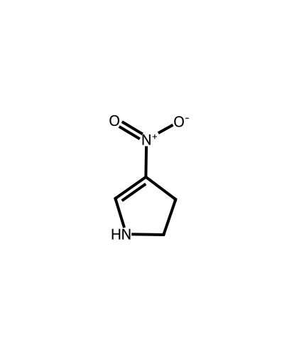 O=[N+]([O-])C1=CNCC1